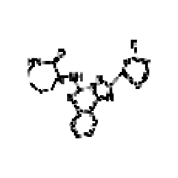 O=C1NCCCC[C@@H]1Nc1nc2ccccc2c2nc(-c3cccc(F)c3)nn12